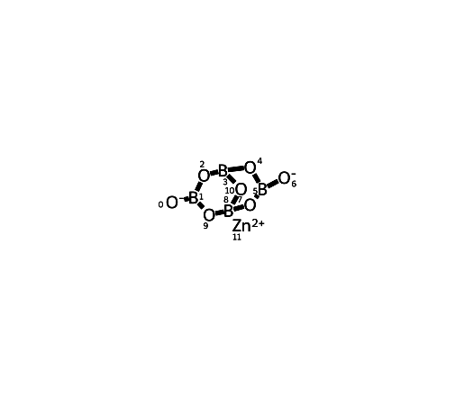 [O-]B1OB2OB([O-])OB(O1)O2.[Zn+2]